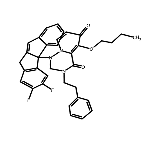 CCCCOc1c2n(ccc1=O)N(C13C(=Cc4ccccc41)Cc1cc(F)c(F)cc13)CN(CCc1ccccc1)C2=O